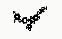 Cn1cc(-c2nc3cnc(OCC(C)(C)O)cc3nc2N2CCC(Oc3ccc(F)cc3F)CC2)cn1